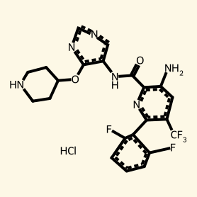 Cl.Nc1cc(C(F)(F)F)c(-c2c(F)cccc2F)nc1C(=O)Nc1cncnc1OC1CCNCC1